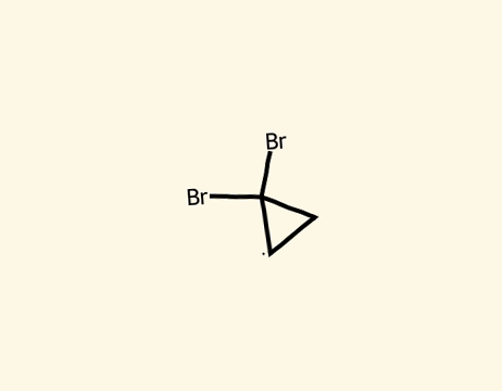 BrC1(Br)[CH]C1